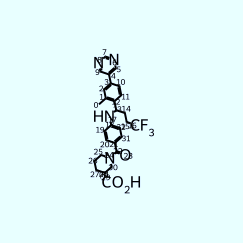 Cc1cc(-c2cncnc2)ccc1C(CCC(F)(F)F)Nc1ccc(C(=O)N2CCC[C@@H](C(=O)O)C2)cc1